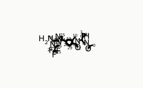 CC(=O)NCC(C1CC1)N1Cc2cc(-c3cnc4c(N)nc(C(F)(F)F)cn34)ccc2C1=O